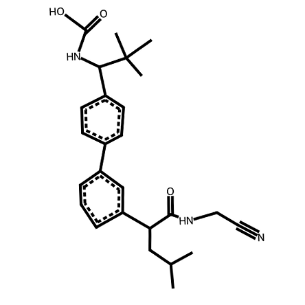 CC(C)CC(C(=O)NCC#N)c1cccc(-c2ccc(C(NC(=O)O)C(C)(C)C)cc2)c1